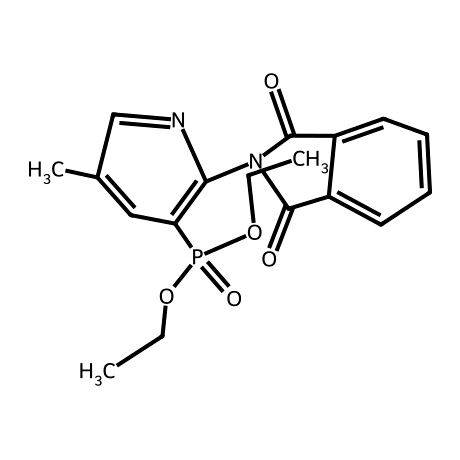 CCOP(=O)(OCC)c1cc(C)cnc1N1C(=O)c2ccccc2C1=O